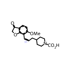 COc1ccc2c(c1/C=C\CC1CCN(C(=O)O)CC1)OCC2=O